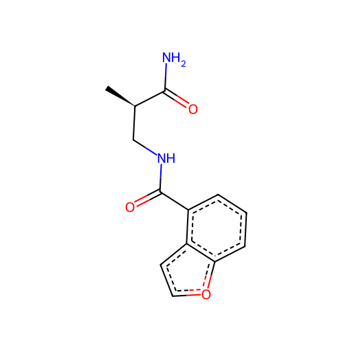 C[C@H](CNC(=O)c1cccc2occc12)C(N)=O